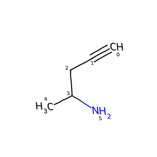 C#CCC(C)N